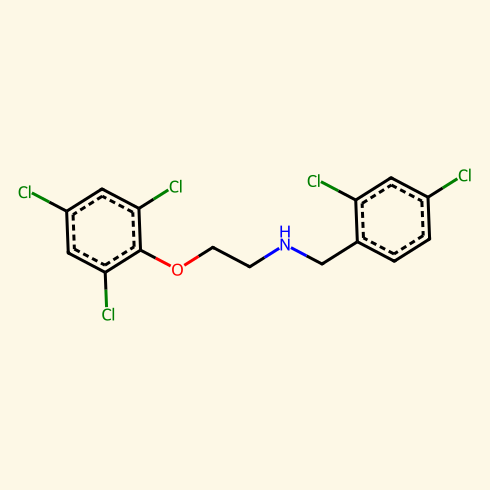 Clc1ccc(CNCCOc2c(Cl)cc(Cl)cc2Cl)c(Cl)c1